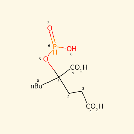 CCCCC(CCC(=O)O)(O[PH](=O)O)C(=O)O